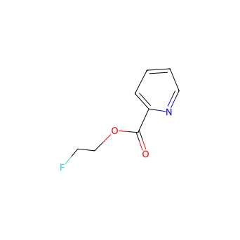 O=C(OCCF)c1ccccn1